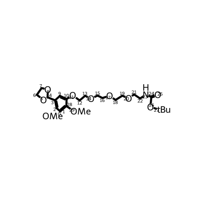 COc1cc(C2OCCO2)cc(OCCOCCOCCOCCNC(=O)OC(C)(C)C)c1OC